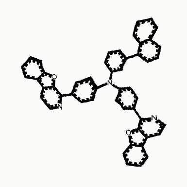 c1cc(-c2cccc3ccccc23)cc(N(c2ccc(-c3nccc4c3oc3ccccc34)cc2)c2ccc(-c3nccc4c3oc3ccccc34)cc2)c1